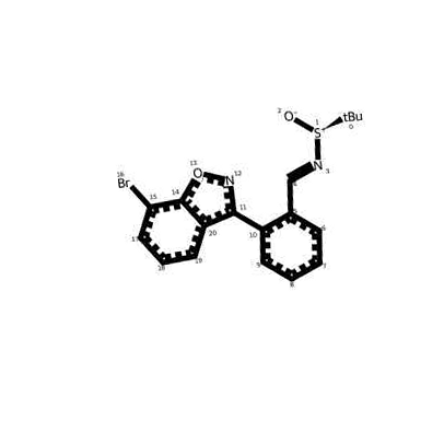 CC(C)(C)[S@+]([O-])N=Cc1ccccc1-c1noc2c(Br)cccc12